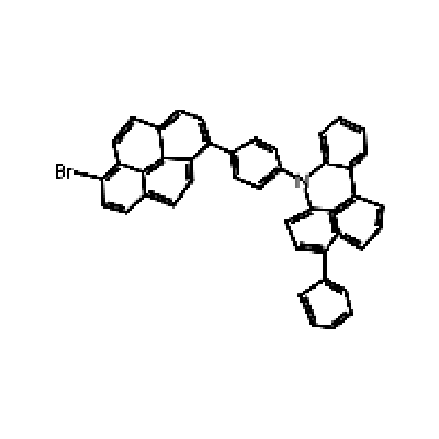 Brc1ccc2ccc3c(-c4ccc(N(c5ccc(-c6ccccc6)cc5)c5ccccc5-c5ccccc5)cc4)ccc4ccc1c2c43